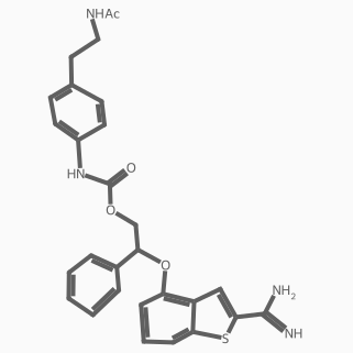 CC(=O)NCCc1ccc(NC(=O)OCC(Oc2cccc3sc(C(=N)N)cc23)c2ccccc2)cc1